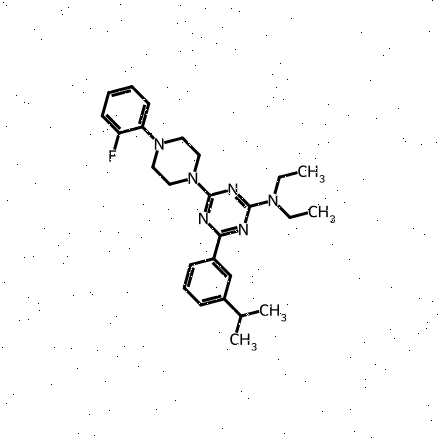 CCN(CC)c1nc(-c2cccc(C(C)C)c2)nc(N2CCN(c3ccccc3F)CC2)n1